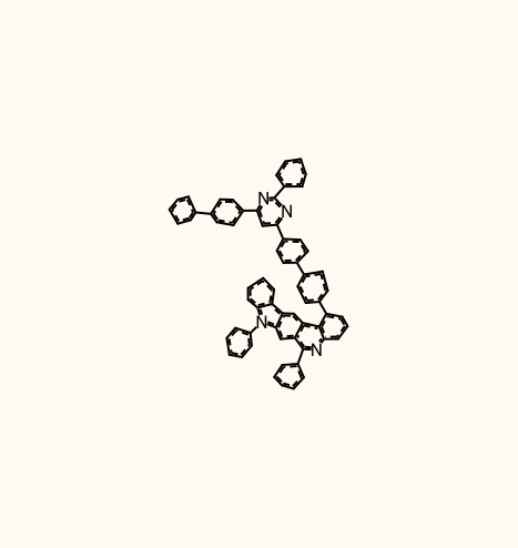 c1ccc(-c2ccc(-c3cc(-c4ccc(-c5ccc(-c6cccc7nc(-c8ccccc8)c8cc9c(cc8c67)c6ccccc6n9-c6ccccc6)cc5)cc4)nc(-c4ccccc4)n3)cc2)cc1